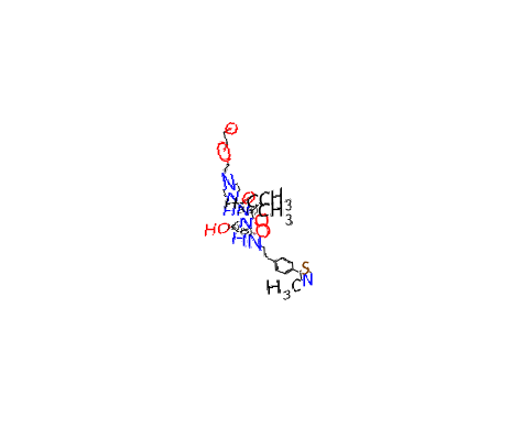 Cc1ncsc1-c1ccc(CCNC(=O)[C@@H]2C[C@H](O)CN2C(=O)[C@@H](NC(=O)CN2CCN(CCOCC=O)CC2)C(C)(C)C)cc1